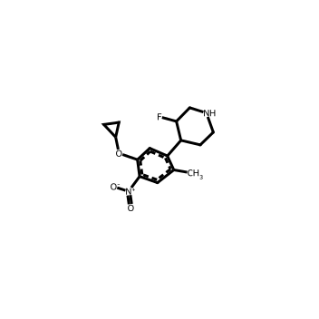 Cc1cc([N+](=O)[O-])c(OC2CC2)cc1C1CCNCC1F